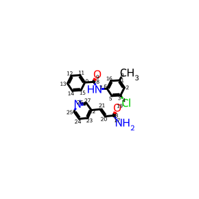 Cc1cc(Cl)cc(NC(=O)c2ccccc2)c1.NC(=O)C=Cc1cccnc1